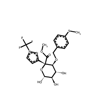 COC(=O)[C@@]1(c2ccn(C(F)(F)F)n2)O[C@@H](O)[C@H](O)[C@@H](O)[C@@H]1OCc1ccc(SC)cc1